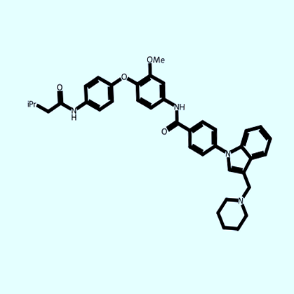 COc1cc(NC(=O)c2ccc(-n3cc(CN4CCCCC4)c4ccccc43)cc2)ccc1Oc1ccc(NC(=O)CC(C)C)cc1